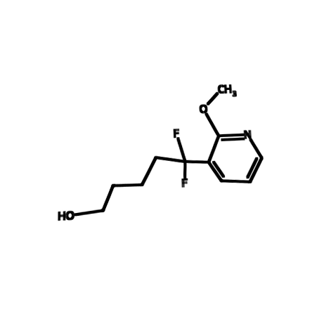 COc1ncccc1C(F)(F)CCCCO